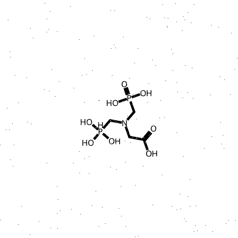 O=C(O)CN(CP(=O)(O)O)C[PH](O)(O)O